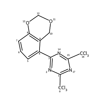 ClC(Cl)(Cl)c1nc(-c2cccc3c2COCO3)nc(C(Cl)(Cl)Cl)n1